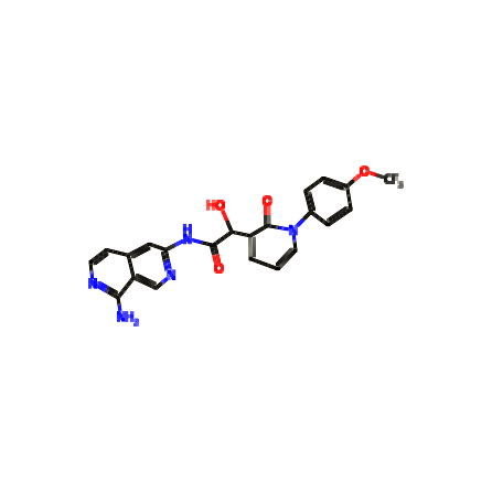 Nc1nccc2cc(NC(=O)C(O)c3cccn(-c4ccc(OC(F)(F)F)cc4)c3=O)ncc12